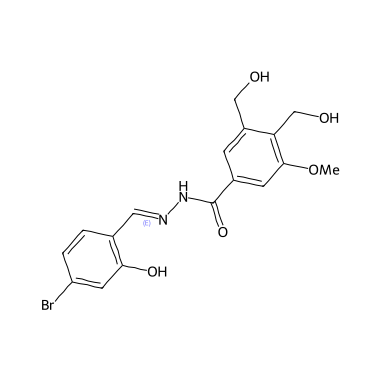 COc1cc(C(=O)N/N=C/c2ccc(Br)cc2O)cc(CO)c1CO